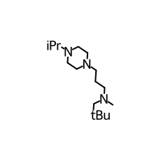 CC(C)N1CCN(CCCN(C)CC(C)(C)C)CC1